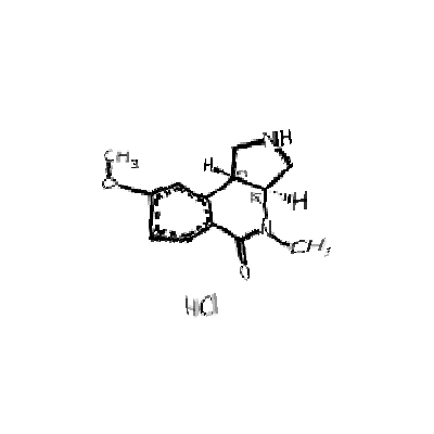 COc1ccc2c(c1)[C@@H]1CNC[C@H]1N(C)C2=O.Cl